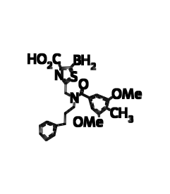 Bc1sc(CN(CCCc2ccccc2)C(=O)c2cc(OC)c(C)c(OC)c2)nc1C(=O)O